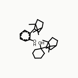 CC1(C)C2CCC1(C)C(C1(O)CCCCC1)C2.CC1(C)C2CCC1(C)C(c1ccccc1O)C2